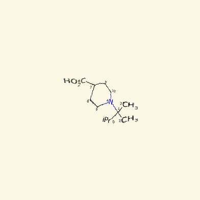 CC(C)C(C)(C)N1CCC(C(=O)O)CC1